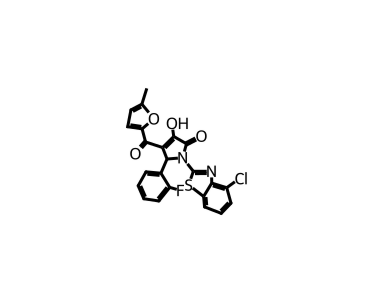 Cc1ccc(C(=O)C2=C(O)C(=O)N(c3nc4c(Cl)cccc4s3)C2c2ccccc2F)o1